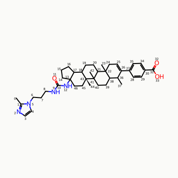 Cc1nccn1CCCNC(=O)NC12CCCC1C1CCC3C4(C)CC=C(c5ccc(C(=O)O)cc5)C(C)C4CCC3(C)[C@]1(C)CC2